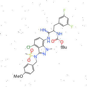 COc1ccc(CN(c2nn(C)c3c(NC(=N)C(Cc4cc(F)cc(F)c4)NC(=O)OC(C)(C)C)ccc(Cl)c23)S(C)(=O)=O)cc1